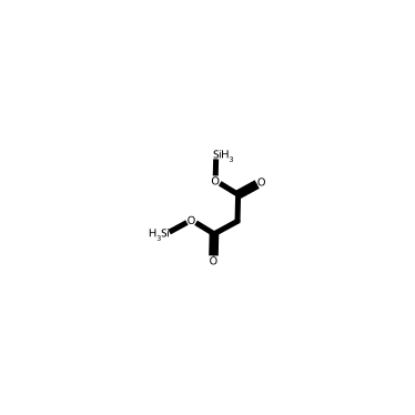 O=C(CC(=O)O[SiH3])O[SiH3]